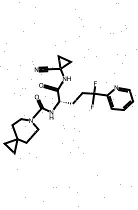 N#CC1(NC(=O)[C@H](CCC(F)(F)c2ccccn2)NC(=O)N2CCC3(CC2)CC3)CC1